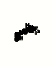 Cn1nc(N2CCC(=O)NC2=O)c2ccc(C3CCN(CC4CCCC(S(=O)(=O)N5CCC(Nc6ncc(C(F)(F)F)c(-c7cnn(CC(F)(F)F)c7)n6)CC5)C4)CC3)cc21